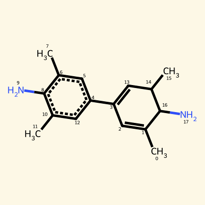 CC1=CC(c2cc(C)c(N)c(C)c2)=CC(C)C1N